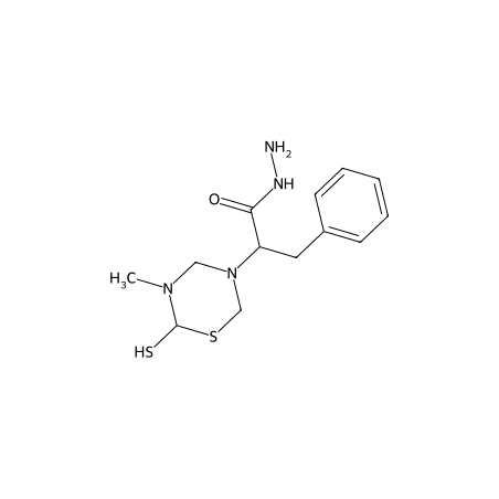 CN1CN(C(Cc2ccccc2)C(=O)NN)CSC1S